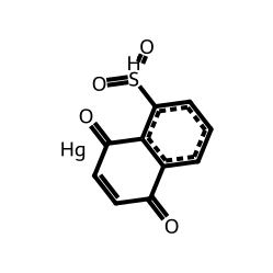 O=C1C=CC(=O)c2c1cccc2[SH](=O)=O.[Hg]